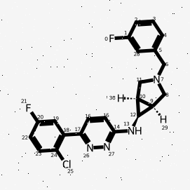 Fc1cccc(CN2C[C@@H]3[C@H](C2)[C@@H]3Nc2ccc(-c3cc(F)ccc3Cl)nn2)c1